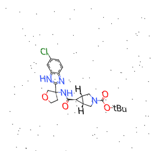 CC(C)(C)OC(=O)N1C[C@@H]2[C@H](C1)[C@H]2C(=O)NC1(c2nc3ccc(Cl)cc3[nH]2)CCOC1